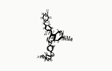 CNc1cc2c(cn1)c(-c1ccc(CN3CCN(C)CC3)cc1)nn2C1CCC(Oc2cnn(C)c2)CC1